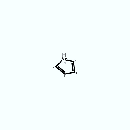 [C]1=CC=C[AsH]1